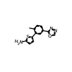 Cc1ccc(-c2nnco2)cc1-c1ccc(N)s1